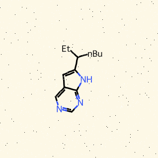 CCCCC(CC)c1cc2cncnc2[nH]1